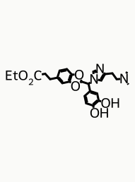 CCOC(=O)CCc1ccc2c(c1)OC(C(c1ccc(O)c(O)c1)n1cnc(CCN(C)C)c1)O2